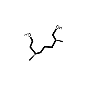 C[C@@H](CCO)CCC[C@H](C)CO